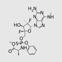 CNc1nc(N)nc2c1ncn2[C@@H]1O[C@](F)(CO[P@@](=S)(N[C@@H](C)C(=O)OC)Oc2ccccc2)[C@@H](O)[C@@]1(C)F